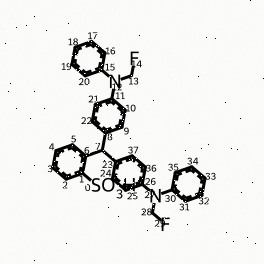 O=S(=O)(O)c1ccccc1C(c1ccc(N(CF)c2ccccc2)cc1)c1ccc(N(CF)c2ccccc2)cc1